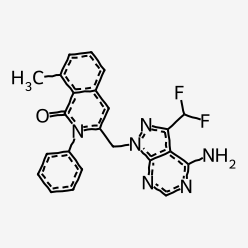 Cc1cccc2cc(Cn3nc(C(F)F)c4c(N)ncnc43)n(-c3ccccc3)c(=O)c12